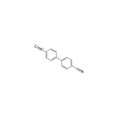 [C-]#[N+]c1ccc(-c2ccc(C#N)cc2)cc1